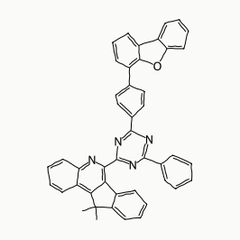 CC1(C)c2ccccc2-c2c(-c3nc(-c4ccccc4)nc(-c4ccc(-c5cccc6c5oc5ccccc56)cc4)n3)nc3ccccc3c21